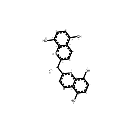 Oc1ccc(O)c2nc(Cc3ccc4c(O)ccc(O)c4n3)ccc12.[Zn]